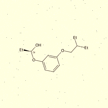 CCC(CC)COc1cccc(O[C@H](O)CC)c1